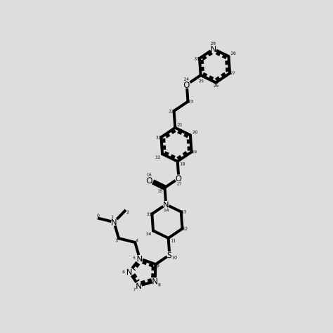 CN(C)CCn1nnnc1SC1CCN(C(=O)Oc2ccc(CCOc3cccnc3)cc2)CC1